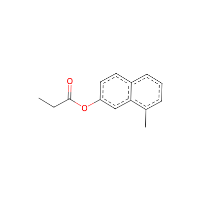 CCC(=O)Oc1ccc2cccc(C)c2c1